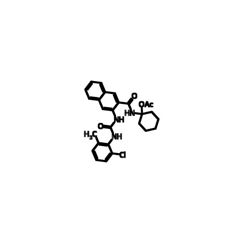 CC(=O)OC1(NC(=O)c2cc3ccccc3cc2NC(=O)Nc2c(C)cccc2Cl)CCCCC1